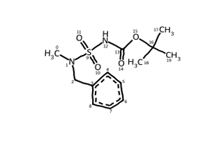 CN(Cc1ccccc1)S(=O)(=O)NC(=O)OC(C)(C)C